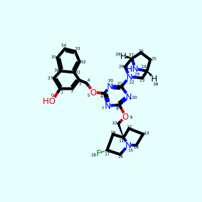 Oc1cc(COc2nc(OC[C@@]34CCCN3C[C@H](F)C4)nc(N3C[C@H]4CC[C@@H](C3)N4)n2)c2ccccc2c1